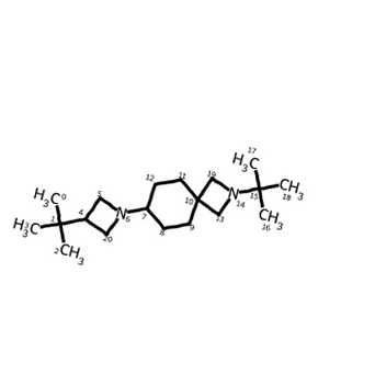 CC(C)(C)C1CN(C2CCC3(CC2)CN(C(C)(C)C)C3)C1